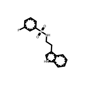 O=S(=O)(NCCc1c[nH]c2ccccc12)c1cccc(F)c1